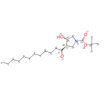 CCCCCCCCCCCC(=O)[C@@H]1CN(C(=O)OC(C)(C)C)C[C@@H]1O